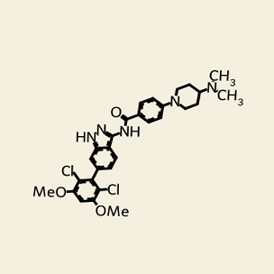 COc1cc(OC)c(Cl)c(-c2ccc3c(NC(=O)c4ccc(N5CCC(N(C)C)CC5)cc4)n[nH]c3c2)c1Cl